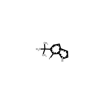 CC(C)(C)c1ccc2cc[nH]c2c1F